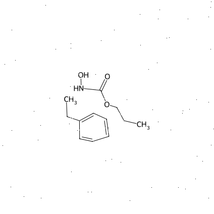 CCCOC(=O)NO.CCc1ccccc1